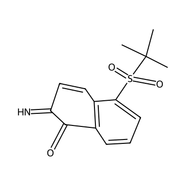 CC(C)(C)S(=O)(=O)c1cccc2c1C=CC(=N)C2=O